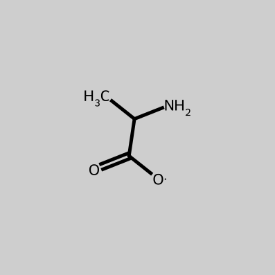 CC(N)C([O])=O